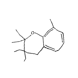 Cc1cccc2c1OC(C)(C)C(C)(C)C2